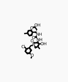 COc1ccc(Cl)c(Cn2cc(C)c(O)c(NC(=O)N[C@@H](CC(=O)O)c3ccc(C)cc3)c2=O)c1